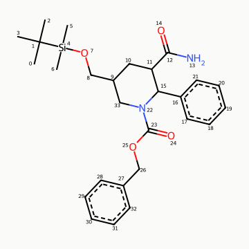 CC(C)(C)[Si](C)(C)OCC1CC(C(N)=O)C(c2ccccc2)N(C(=O)OCc2ccccc2)C1